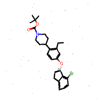 CCc1cc(O[C@H]2CCc3cccc(Br)c32)ccc1C1CCN(C(=O)OC(C)(C)C)CC1